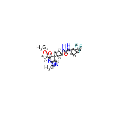 CCOC(=O)C1(c2cc(-c3ccc(NC(=O)Nc4cccc(C(F)(F)F)c4)cc3)c3cnn(C)c3n2)CC1